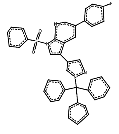 O=S(=O)(c1ccccc1)n1cc(-c2cnn(C(c3ccccc3)(c3ccccc3)c3ccccc3)c2)c2cc(-c3ccc(F)cc3)cnc21